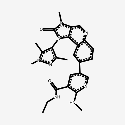 CCNC(=O)c1cc(-c2ccc3ncc4c(c3c2)n(-c2c(C)nn(C)c2C)c(=O)n4C)cnc1NC